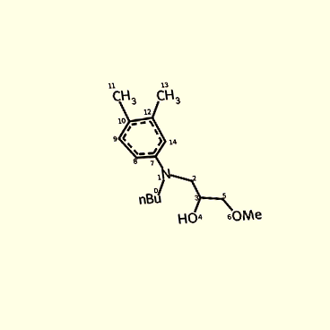 CCCCN(CC(O)COC)c1ccc(C)c(C)c1